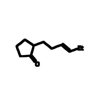 CC/C=C/CCC1CCCC1=O